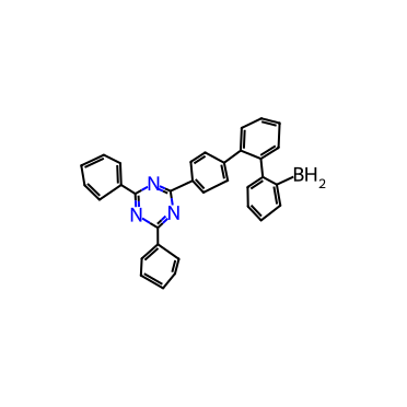 Bc1ccccc1-c1ccccc1-c1ccc(-c2nc(-c3ccccc3)nc(-c3ccccc3)n2)cc1